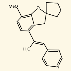 COc1ccc(C(C)=Cc2ccncc2)c2c1OC1(CCCC1)C2